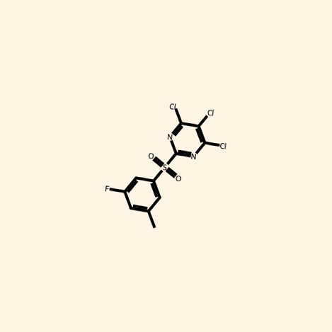 Cc1cc(F)cc(S(=O)(=O)c2nc(Cl)c(Cl)c(Cl)n2)c1